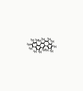 [2H]c1c([2H])c([2H])c2c(c1[2H])c([2H])c([2H])c1c([2H])c3c(c([2H])c([2H])c4c([2H])c([2H])c([2H])c([2H])c43)c([2H])c12